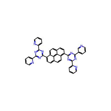 c1ccc(-c2nc(-c3cccnc3)nc(-c3ccc4ccc5c(-c6nc(-c7ccccn7)nc(-c7ccccn7)n6)ccc6ccc3c4c65)n2)nc1